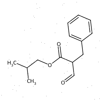 CC(C)COC(=O)C(C=O)Cc1ccccc1